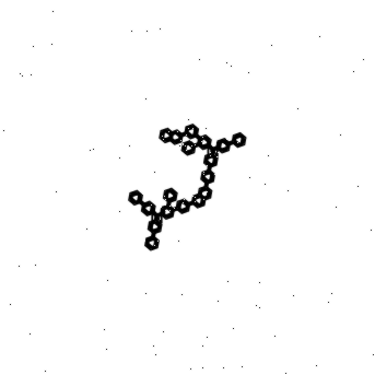 c1ccc(-c2ccc(N(c3ccc(-c4ccccc4)cc3)c3ccc(-c4ccc(-c5ccc6ccc(-c7ccc(-c8ccc(N(c9ccc(-c%10ccccc%10)cc9)c9ccc(-c%10cccc(-c%11ccc%12ccccc%12c%11)c%10)c(-c%10ccccc%10)c9)cc8)cc7)cc6c5)cc4)c(-c4ccccc4)c3)cc2)cc1